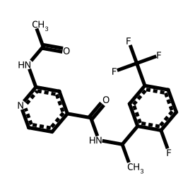 CC(=O)Nc1cc(C(=O)NC(C)c2cc(C(F)(F)F)ccc2F)ccn1